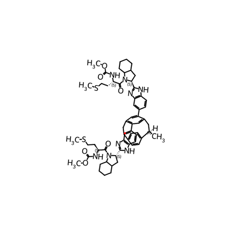 COC(=O)N[C@@H](CCSC)C(=O)N1C2CCCCC2C[C@H]1c1nc2cc(-c3cc4c(-c5ccc6[nH]c([C@@H]7CC8CCCCC8N7C(=O)[C@H](CCSC)NC(=O)OC)nc6c5)cc3CCc3ccc(cc3)[C@H](C)C4)ccc2[nH]1